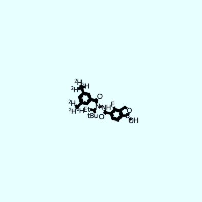 [2H]C([2H])([2H])c1cc(C(=O)N(NC(=O)c2ccc3c(c2F)COB3O)C(CC)C(C)(C)C)cc(C([2H])([2H])[2H])c1